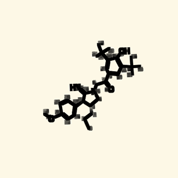 CCC[C@H]1CN(CC(=O)c2cc(C(C)(C)C)c(O)c(C(C)(C)C)c2)C(=N)[C@@H]1c1ccc(OC)cc1